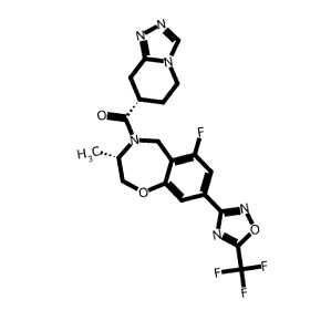 C[C@H]1COc2cc(-c3noc(C(F)(F)F)n3)cc(F)c2CN1C(=O)[C@H]1CCn2cnnc2C1